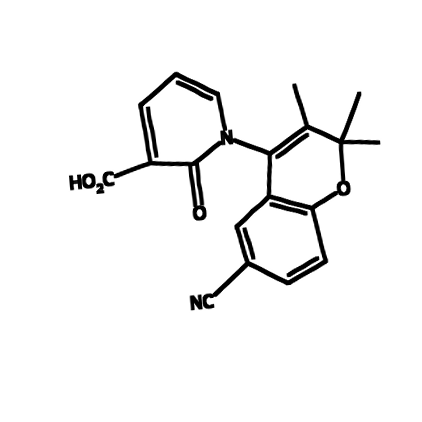 CC1=C(n2cccc(C(=O)O)c2=O)c2cc(C#N)ccc2OC1(C)C